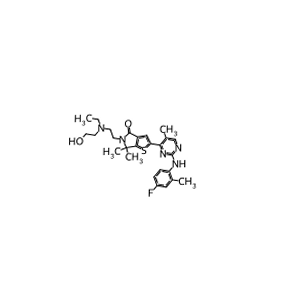 CCN(CCO)CCN1C(=O)c2cc(-c3nc(Nc4ccc(F)cc4C)ncc3C)sc2C1(C)C